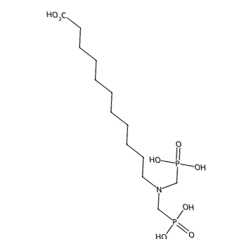 O=C(O)CCCCCCCCCCN(CP(=O)(O)O)CP(=O)(O)O